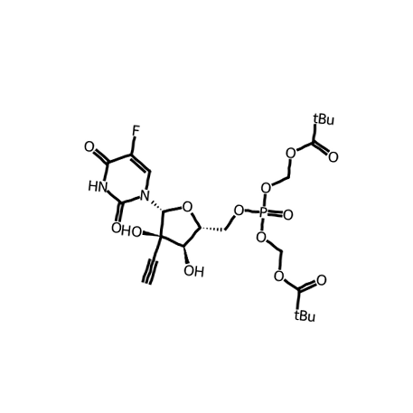 C#C[C@@]1(O)[C@H](O)[C@@H](COP(=O)(OCOC(=O)C(C)(C)C)OCOC(=O)C(C)(C)C)O[C@H]1n1cc(F)c(=O)[nH]c1=O